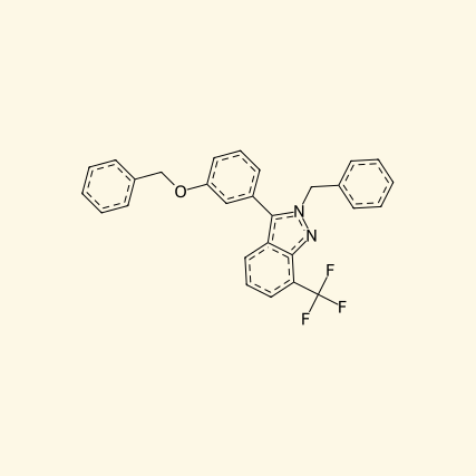 FC(F)(F)c1cccc2c(-c3cccc(OCc4ccccc4)c3)n(Cc3ccccc3)nc12